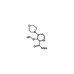 CCCOc1c(N2CCOCC2)ccnc1C(=O)NC